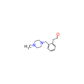 CN1CCN(Cc2ccccc2[CH]C=O)CC1